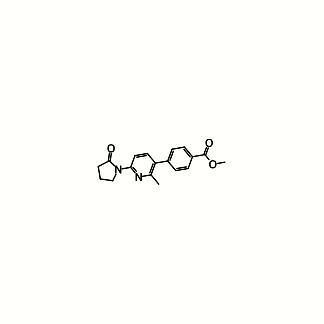 COC(=O)c1ccc(-c2ccc(N3CCCC3=O)nc2C)cc1